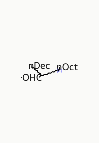 CCCCCCCC/C=C\CCCCCCCCC([C]=O)CCCCCCCCCCCCCCCC